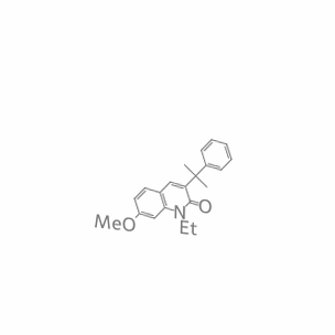 CCn1c(=O)c(C(C)(C)c2ccccc2)cc2ccc(OC)cc21